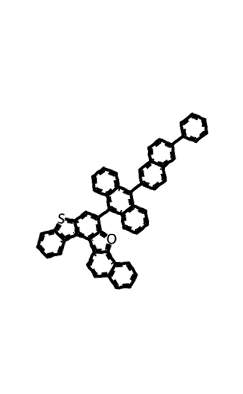 c1ccc(-c2ccc3cc(-c4c5ccccc5c(-c5cc6sc7ccccc7c6c6c5oc5c7ccccc7ccc56)c5ccccc45)ccc3c2)cc1